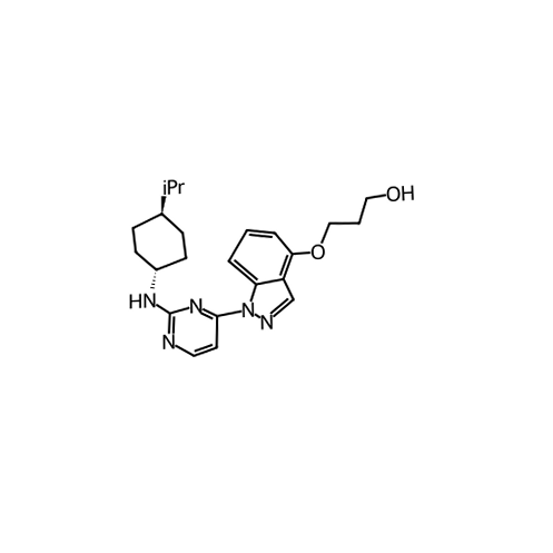 CC(C)[C@H]1CC[C@H](Nc2nccc(-n3ncc4c(OCCCO)cccc43)n2)CC1